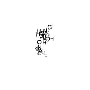 COc1cccc(-c2ccc(C[C@H](NC(=O)O)[C@H](O)C[C@@H](N)Cc3ccccc3)cc2)n1